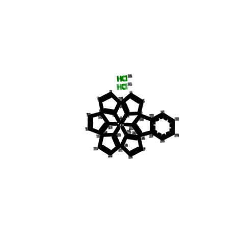 C1=CC[C]([Zr]([C]2=CC=CC2)([C]2=CC=CC2)([C]2=CC=CC2)([C]2=CC=CC2)[C]2=Cc3ccccc3C2)=C1.Cl.Cl